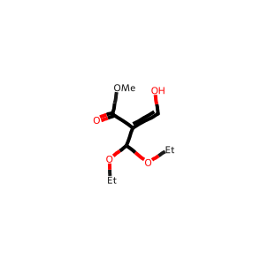 CCOC(OCC)C(=CO)C(=O)OC